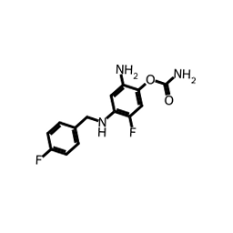 NC(=O)Oc1cc(F)c(NCc2ccc(F)cc2)cc1N